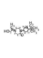 C[C@H](CO)N1CCC(=O)N(c2ccc(C(C)(C)C)nc2)CC1